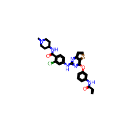 C=CC(=O)Nc1cccc(Oc2nc(Nc3ccc(C(=O)NC4CCN(C)CC4)c(Cl)c3)nc3ccsc23)c1